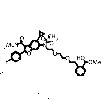 CNC(=O)c1c(-c2ccc(F)cc2)oc2cc(N(CCOCCOCCc3ccccc3C(O)OC)S(C)(=O)=O)c(C3CC3)cc12